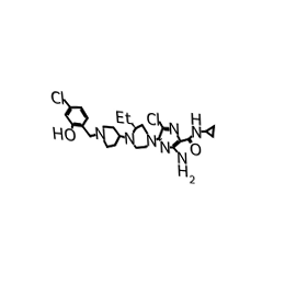 CC[C@H]1CN(c2nc(N)c(C(=O)NC3CC3)nc2Cl)CCN1C1CCN(Cc2ccc(Cl)cc2O)CC1